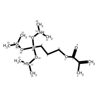 C=C(C)C(=O)OCCC[Si](O[SiH](C)C)(O[SiH](C)C)O[SiH](C)C